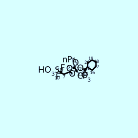 CCCOC(=O)C(OCCC(F)(F)S(=O)(=O)O)(OC(=O)C1CCCCC1)C(F)(F)F